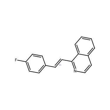 Fc1ccc(/C=C/c2nccc3ccccc23)cc1